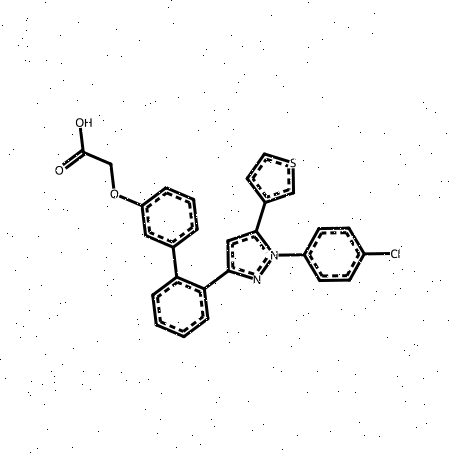 O=C(O)COc1cccc(-c2ccccc2-c2cc(-c3ccsc3)n(-c3ccc(Cl)cc3)n2)c1